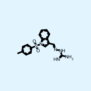 Cc1ccc(S(=O)(=O)n2cc(/C=N/NC(=N)N)c3ccccc32)cc1